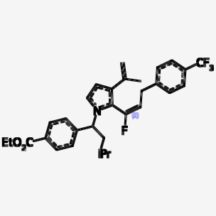 C=C(C)c1ccn(C(CC(C)C)c2ccc(C(=O)OCC)cc2)c1/C(F)=C\Cc1ccc(C(F)(F)F)cc1